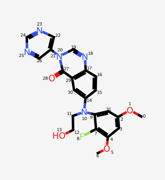 COc1cc(OC)c(F)c(N(CCO)c2ccc3ncn(-c4cncnc4)c(=O)c3c2)c1